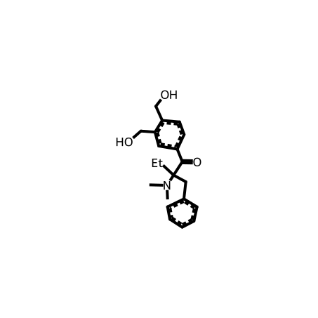 CCC(Cc1ccccc1)(C(=O)c1ccc(CO)c(CO)c1)N(C)C